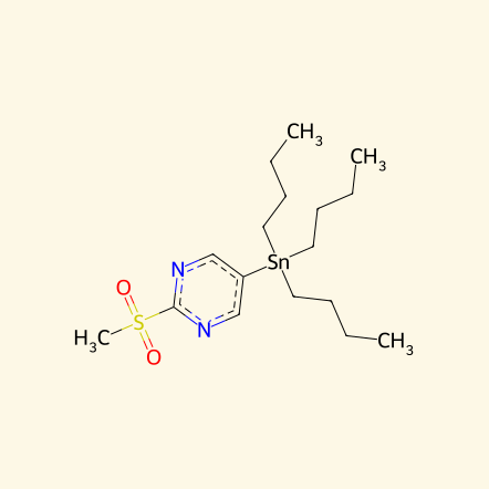 CCC[CH2][Sn]([CH2]CCC)([CH2]CCC)[c]1cnc(S(C)(=O)=O)nc1